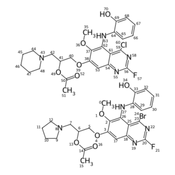 COc1c(OCC(CN2CCCC2)OC(C)=O)cc2nc(F)nc(Br)c2c1Nc1ccccc1O.COc1c(OCC(CN2CCCCC2)OC(C)=O)cc2nc(F)nc(Cl)c2c1Nc1ccccc1O